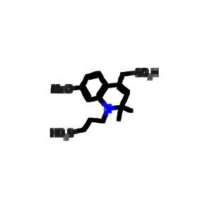 COc1ccc2c(c1)N(CCCS(=O)(=O)O)C(C)(C)C=C2CS(=O)(=O)O